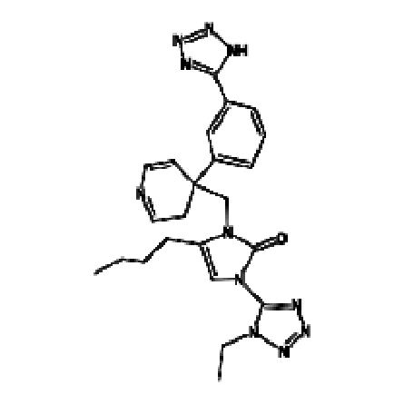 CCCCc1cn(-c2nnnn2CC)c(=O)n1CC1(c2cccc(-c3nnn[nH]3)c2)C=CN=CC1